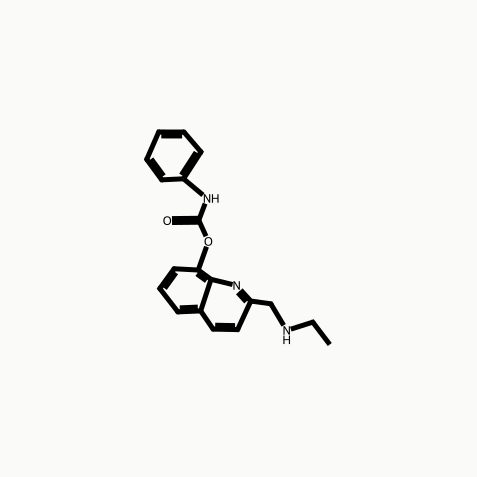 CCNCc1ccc2cccc(OC(=O)Nc3ccccc3)c2n1